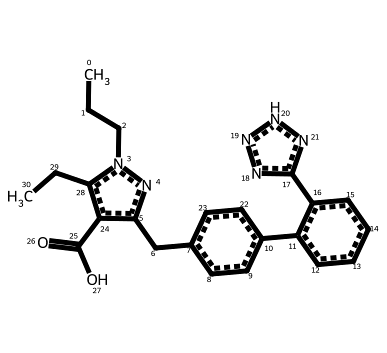 CCCn1nc(Cc2ccc(-c3ccccc3-c3nn[nH]n3)cc2)c(C(=O)O)c1CC